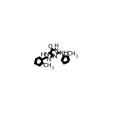 Cc1ccccc1Nc1nc2nc(-c3ccccc3C)[nH]c2c(=O)[nH]1